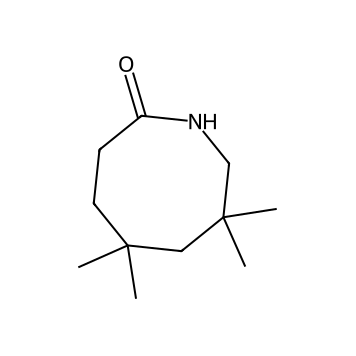 CC1(C)CCC(=O)NCC(C)(C)C1